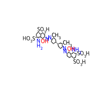 Cc1cc(-c2ccc(N=Nc3ccc4c(S(=O)(=O)O)cc(S(=O)(=O)O)c(N)c4c3O)c(C)c2)ccc1N=Nc1ccc2c(S(=O)(=O)O)cc(S(=O)(=O)O)c(N)c2c1O